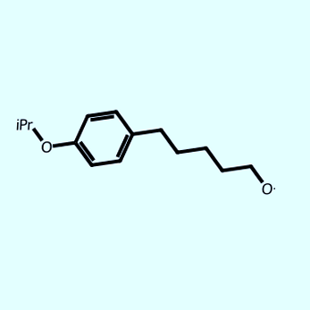 CC(C)Oc1ccc(CCCCC[O])cc1